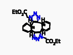 CCOC(=O)Cn1nnc2c1[C@H]1C=CC=C[C@H]1c1nnn(CC(=O)OCC)c1[C@H]1C=CC=C[C@@H]21